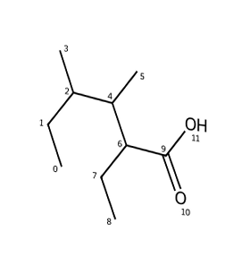 CCC(C)C(C)C(CC)C(=O)O